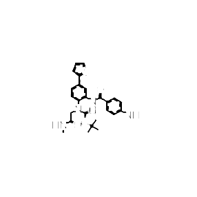 CNC(=O)CN(C(=O)OC(C)(C)C)c1ccc(-c2cccs2)cc1NC(=O)c1ccc(N)cc1